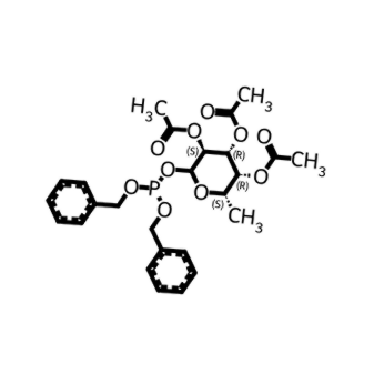 CC(=O)O[C@@H]1[C@H](OC(C)=O)[C@H](C)OC(OP(OCc2ccccc2)OCc2ccccc2)[C@H]1OC(C)=O